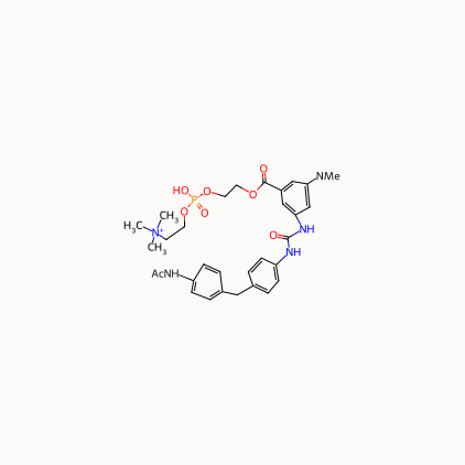 CNc1cc(NC(=O)Nc2ccc(Cc3ccc(NC(C)=O)cc3)cc2)cc(C(=O)OCCOP(=O)(O)OCC[N+](C)(C)C)c1